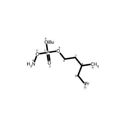 CC(C)COP(=O)(ON)OCCC(C)CC(C)C